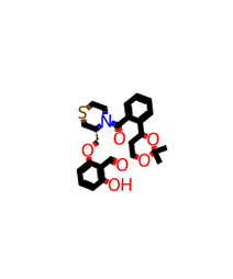 CC1(C)OCCC(c2ccccc2C(=O)N2CCSC[C@H]2COc2cccc(O)c2C=O)O1